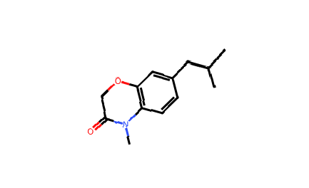 CC(C)Cc1ccc2c(c1)OCC(=O)N2C